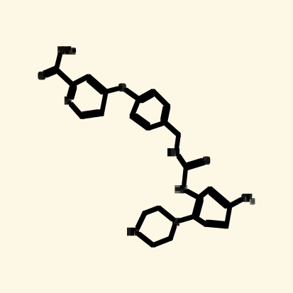 CNC(=O)c1cc(Oc2ccc(CNC(=O)Nc3cc(C(F)(F)F)ccc3N3CCNCC3)cc2)ccn1